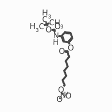 CC(C)(C)OC(=O)Nc1cccc(OC(=O)CCCCCCCO[N+](=O)[O-])c1